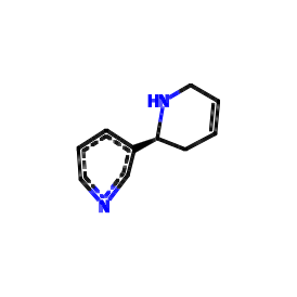 C1=CC[C@@H](c2cccnc2)NC1